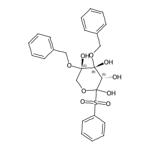 O=S(=O)(c1ccccc1)C1(O)OC[C@](O)(OCc2ccccc2)[C@](O)(OCc2ccccc2)[C@@H]1O